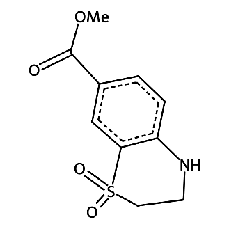 COC(=O)c1ccc2c(c1)S(=O)(=O)CCN2